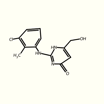 Cc1c(Cl)cccc1Nc1nc(=O)cc(CO)[nH]1